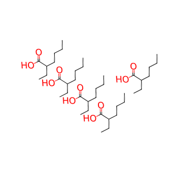 CCCCC(CC)C(=O)O.CCCCC(CC)C(=O)O.CCCCC(CC)C(=O)O.CCCCC(CC)C(=O)O.CCCCC(CC)C(=O)O